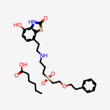 CCCCCC(=O)O.O=c1[nH]c2c(O)ccc(CCNCCCS(=O)(=O)CCOCCc3ccccc3)c2s1